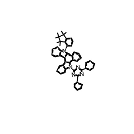 CC1(C)c2cccc(-n3c4ccccc4c4c5c6ccccc6n(-c6nc(-c7ccccc7)nc(-c7ccccc7)n6)c5c5ccccc5c43)c2C(C)(C)C1(C)C